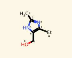 CCc1nc(C)[nH]c1CO